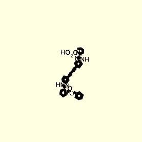 O=C(O)N1CCCC[C@H]1c1nc2cc(C#CC#Cc3ccc4[nH]c([C@@H]5CCCCN5C(=O)OCc5ccccc5)nc4c3)ccc2[nH]1